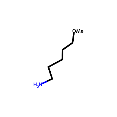 COCCCCCN